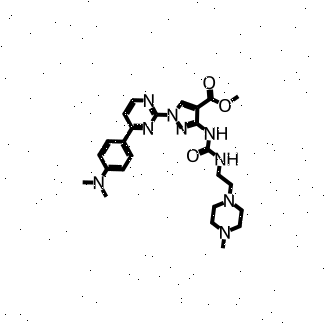 COC(=O)c1cn(-c2nccc(-c3ccc(N(C)C)cc3)n2)nc1NC(=O)NCCN1CCN(C)CC1